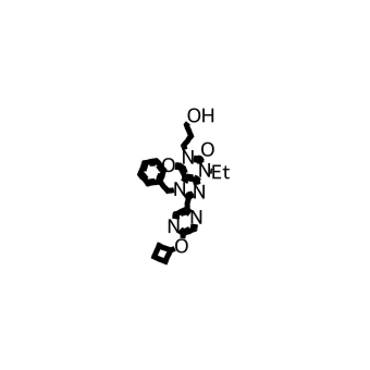 CCn1c(=O)n(CCCO)c(=O)c2c1nc(-c1cnc(OC3CCC3)cn1)n2Cc1ccccc1